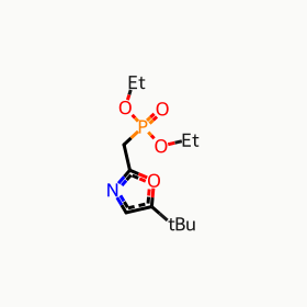 CCOP(=O)(Cc1ncc(C(C)(C)C)o1)OCC